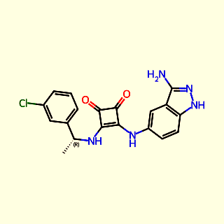 C[C@@H](Nc1c(Nc2ccc3[nH]nc(N)c3c2)c(=O)c1=O)c1cccc(Cl)c1